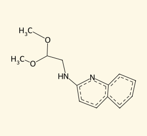 COC(CNc1ccc2ccccc2n1)OC